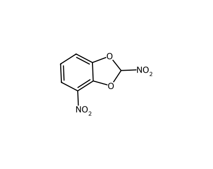 O=[N+]([O-])c1cccc2c1OC([N+](=O)[O-])O2